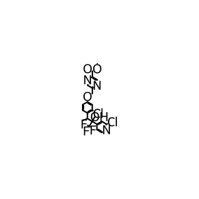 COC(=O)c1cnc(COc2ccc(C(C)C(O)(c3ccnc(Cl)c3)C(F)(F)F)c(Cl)c2)cn1